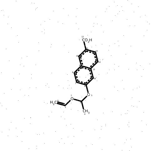 C=COC(C)Oc1ccc2cc(C(=O)O)ccc2c1